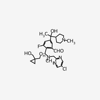 CN1CCC(C(C)(O)c2cc(F)c([C@@H](OCC3(CO)CC3)N(C)Cc3ncc(Cl)cn3)c(C=O)c2)CC1